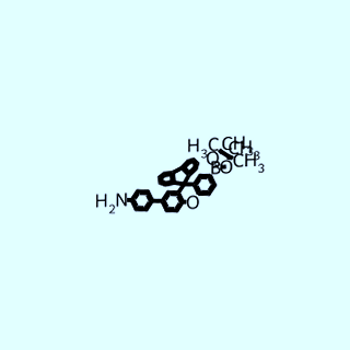 CC1(C)OB(c2ccc3c(c2)C2(c4cc(-c5ccc(N)cc5)ccc4O3)c3ccccc3-c3ccccc32)OC1(C)C